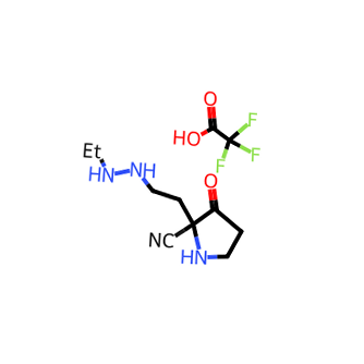 CCNNCCC1(C#N)NCCC1=O.O=C(O)C(F)(F)F